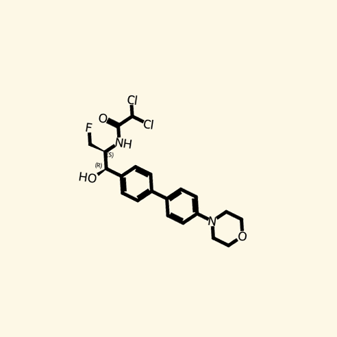 O=C(N[C@H](CF)[C@H](O)c1ccc(-c2ccc(N3CCOCC3)cc2)cc1)C(Cl)Cl